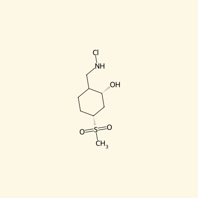 CS(=O)(=O)[C@@H]1CCC(CNCl)[C@H](O)C1